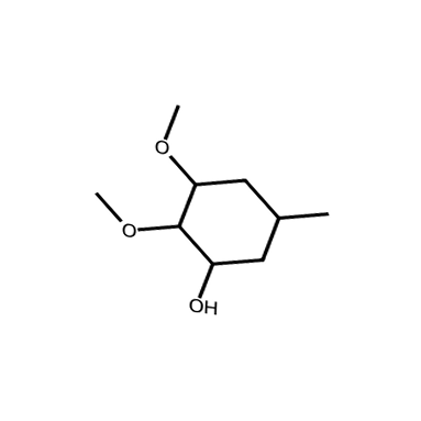 COC1CC(C)CC(O)C1OC